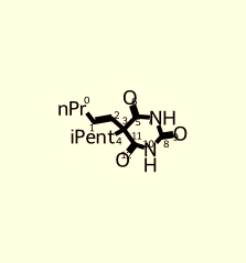 CCCC=CC1(C(C)CCC)C(=O)NC(=O)NC1=O